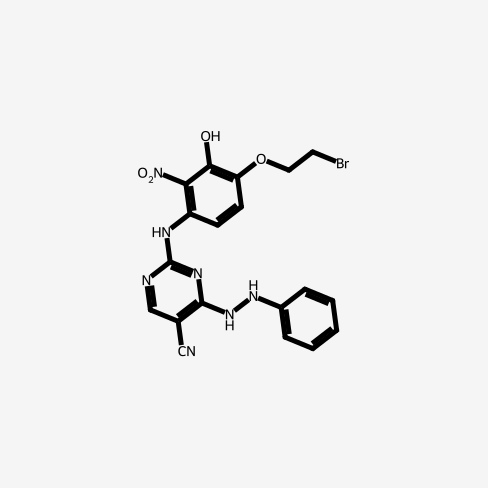 N#Cc1cnc(Nc2ccc(OCCBr)c(O)c2[N+](=O)[O-])nc1NNc1ccccc1